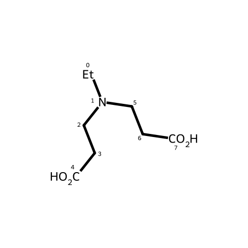 CCN(CCC(=O)O)CCC(=O)O